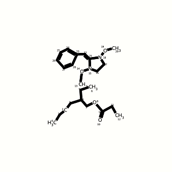 CCCCC(CC)COC(=O)CC.CON1CCN(OC)C1=Cc1ccccc1